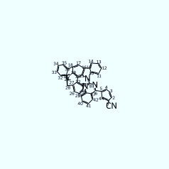 N#Cc1cccc(-c2nc(-n3c4ccccc4c4cc5c6c(c43)-c3ccccc3C(CC6)c3ccccc3-5)nc3ccccc23)c1